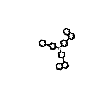 c1ccc(-c2ccc(N(c3ccc(-c4cccc5ccccc45)cc3)c3ccc(-c4cccc5ccccc45)cc3)cc2)cc1